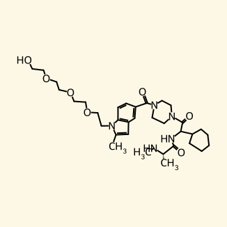 CN[C@@H](C)C(=O)NC(C(=O)N1CCN(C(=O)c2ccc3c(c2)cc(C)n3CCOCCOCCOCCO)CC1)C1CCCCC1